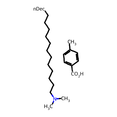 CCCCCCCCCCCCCCCCCCCCCCN(C)C.Cc1ccc(C(=O)O)cc1